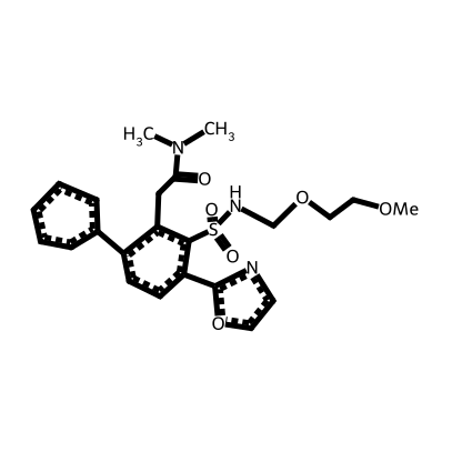 COCCOCNS(=O)(=O)c1c(-c2ncco2)ccc(-c2ccccc2)c1CC(=O)N(C)C